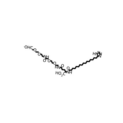 O=[C]COCCOCCNC(=O)COCCOCCNC(=O)CC[C@H](NC(=O)CCCCCCCCCCCCCCCc1nnn[nH]1)C(=O)O